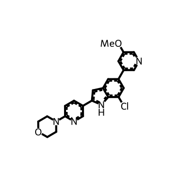 COc1cncc(-c2cc(Cl)c3[nH]c(-c4ccc(N5CCOCC5)nc4)cc3c2)c1